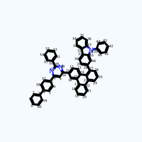 c1ccc(-c2ccc(-c3cc(-c4ccc5c(c4)c4ccccc4c4cccc(-c6ccc7c8ccccc8n(-c8ccccc8)c7c6)c45)nc(-c4ccccc4)n3)cc2)cc1